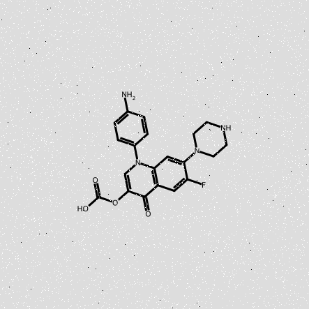 Nc1ccc(-n2cc(OC(=O)O)c(=O)c3cc(F)c(N4CCNCC4)cc32)cc1